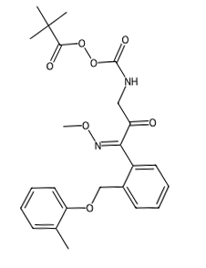 CON=C(C(=O)CNC(=O)OOC(=O)C(C)(C)C)c1ccccc1COc1ccccc1C